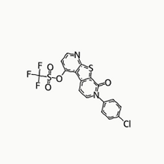 O=c1c2sc3nccc(OS(=O)(=O)C(F)(F)F)c3c2ccn1-c1ccc(Cl)cc1